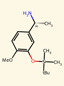 COc1ccc([C@@H](C)N)cc1O[Si](C)(C)C(C)(C)C